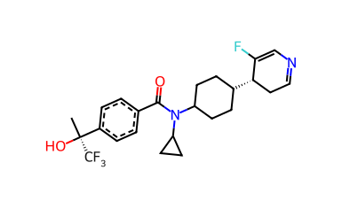 C[C@](O)(c1ccc(C(=O)N(C2CCC([C@H]3CC=NC=C3F)CC2)C2CC2)cc1)C(F)(F)F